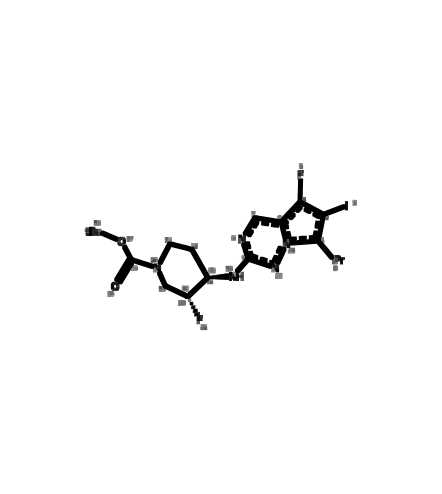 CC(C)c1c(I)c(F)c2cnc(N[C@@H]3CCN(C(=O)OC(C)(C)C)C[C@H]3F)nn12